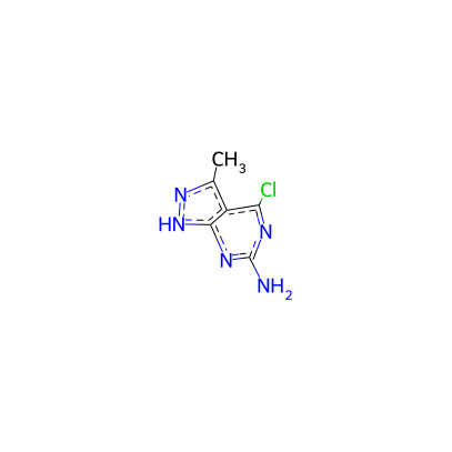 Cc1n[nH]c2nc(N)nc(Cl)c12